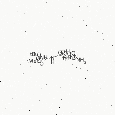 COC(=O)[C@H](CCCCNCCCCP1(=O)OC[C@H]2O[C@@H](n3ccc(N)nc3=O)C(F)(F)[C@@H]2O1)NC(=O)OC(C)(C)C